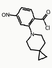 O=Nc1ccc(C(=O)Cl)c(N2CCC3(CC2)CC3)c1